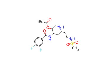 CC(C)(C)C(=O)O[C@H]1CNC(CCNS(C)(=O)=O)C[C@@H]1NC(=O)c1ccc(F)c(F)c1